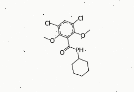 COc1c(Cl)cc(Cl)c(OC)c1C(=O)PC1CCCCC1